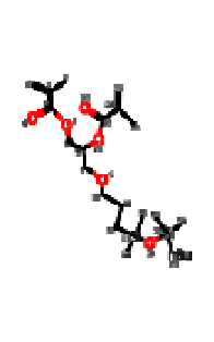 C=C(C)C(=O)OCC(COCCC[Si](C)(C)O[Si](C)(C)CCCC)OC(=O)C(=C)C